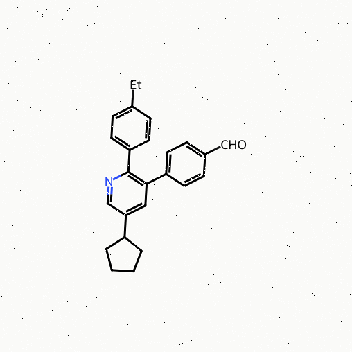 CCc1ccc(-c2ncc(C3CCCC3)cc2-c2ccc(C=O)cc2)cc1